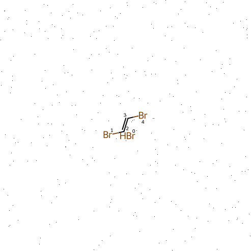 Br.BrC=CBr